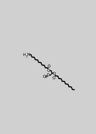 CCCCCCCCCCCC(=O)O[C@@H](COP=O)COC(=O)CCCCCCCCCCN